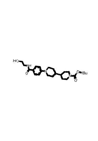 CC(C)(C)OC(=O)N1CCC(C2CCN(c3ccc(C(=O)NCCO)cc3)CC2)CC1